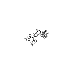 CC(C)(C)OC(=O)N(C(=O)OC(C)(C)C)c1cc2c(OS(=O)(=O)C(F)(F)F)ccnc2s1